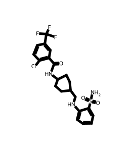 NS(=O)(=O)c1ccccc1NCC1CCC(NC(=O)c2cc(C(F)(F)F)ccc2Cl)CC1